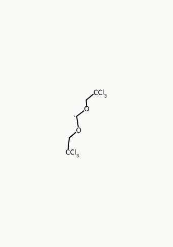 ClC(Cl)(Cl)CO[CH]OCC(Cl)(Cl)Cl